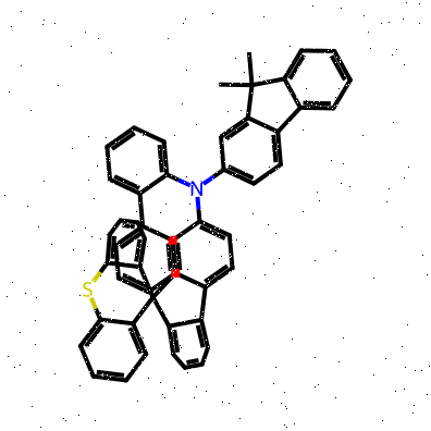 CC1(C)c2ccccc2-c2ccc(N(c3ccc4c(c3)C3(c5ccccc5Sc5ccccc53)c3ccccc3-4)c3ccccc3-c3ccccc3)cc21